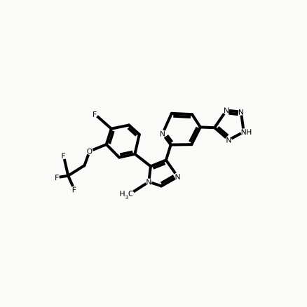 Cn1cnc(-c2cc(-c3nn[nH]n3)ccn2)c1-c1ccc(F)c(OCC(F)(F)F)c1